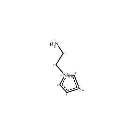 NCC[n+]1ccsc1